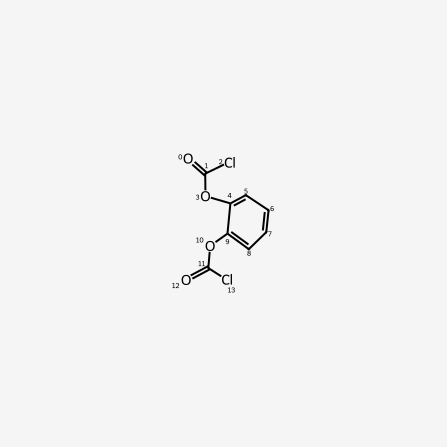 O=C(Cl)Oc1ccccc1OC(=O)Cl